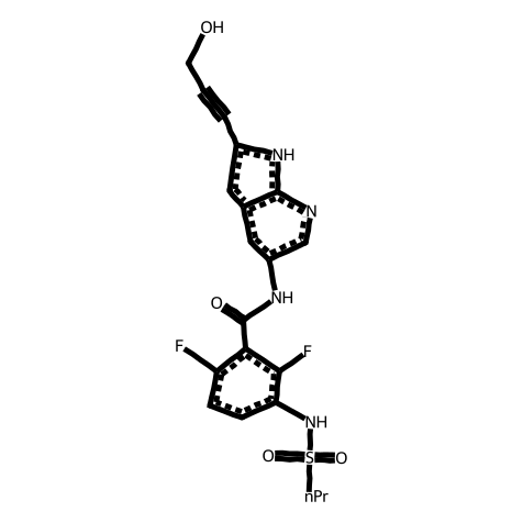 CCCS(=O)(=O)Nc1ccc(F)c(C(=O)Nc2cnc3[nH]c(C#CCO)cc3c2)c1F